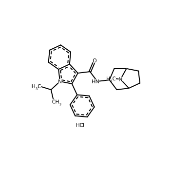 CC(C)n1c(-c2ccccc2)c(C(=O)NC2CC3CCC(C2)N3C)c2ccccc21.Cl